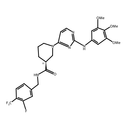 COc1cc(Nc2nccc(N3CCC[C@H](C(=O)NCc4ccc(C(F)(F)F)c(F)c4)C3)n2)cc(OC)c1OC